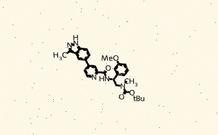 COc1cccc(C(CN(C)C(=O)OC(C)(C)C)NC(=O)c2cc(-c3ccc4[nH]nc(C)c4c3)ccn2)c1